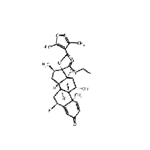 Cc1noc(C)c1C(=O)O[C@@]1(C(=O)SCF)[C@H](C)C[C@H]2[C@@H]3C[C@H](F)C4=CC(=O)C=C[C@]4(C)[C@@]3(F)[C@@H](O)C[C@@]21C